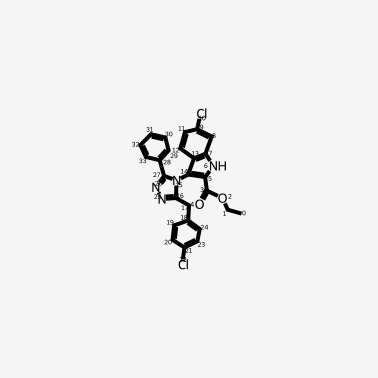 CCOC(=O)c1[nH]c2cc(Cl)ccc2c1-n1c(Cc2ccc(Cl)cc2)nnc1-c1ccccc1